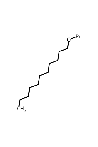 CCCCCCCCCCC[O][Pr]